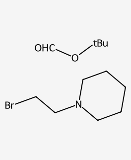 BrCCN1CCCCC1.CC(C)(C)OC=O